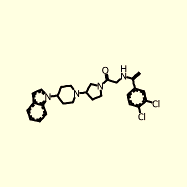 C=C(NCC(=O)N1CCC(N2CCC(n3ccc4ccccc43)CC2)C1)c1ccc(Cl)c(Cl)c1